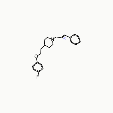 Fc1ccc(OCCC2CCN(C/C=C/c3ccccc3)CC2)cc1